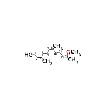 [CH]=CCC(C)CCCC(C)CCCC(C)OC